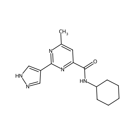 Cc1cc(C(=O)NC2CCCCC2)nc(-c2cn[nH]c2)n1